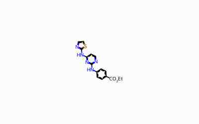 CCOC(=O)c1ccc(Nc2nccc(Nc3nccs3)n2)cc1